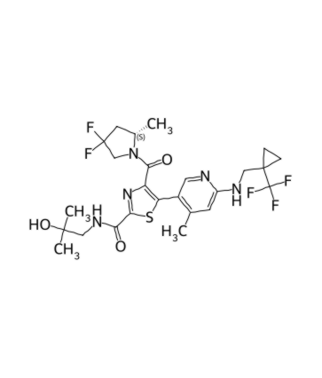 Cc1cc(NCC2(C(F)(F)F)CC2)ncc1-c1sc(C(=O)NCC(C)(C)O)nc1C(=O)N1CC(F)(F)C[C@@H]1C